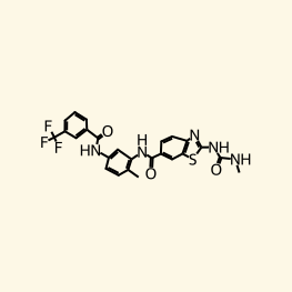 CNC(=O)Nc1nc2ccc(C(=O)Nc3cc(NC(=O)c4cccc(C(F)(F)F)c4)ccc3C)cc2s1